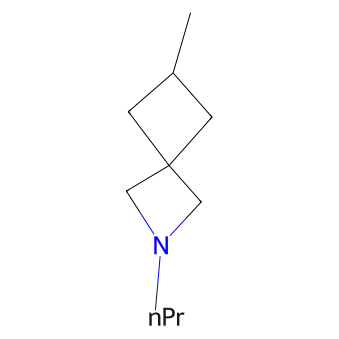 CCCN1CC2(CC(C)C2)C1